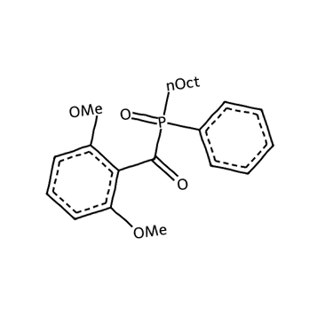 CCCCCCCCP(=O)(C(=O)c1c(OC)cccc1OC)c1ccccc1